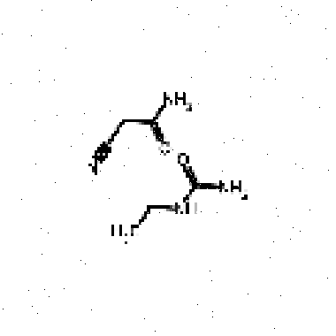 CCNC(N)=O.N#CCC(N)=O